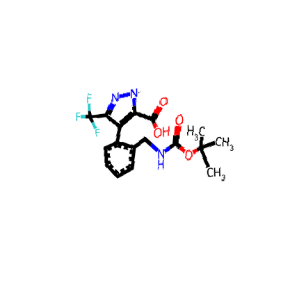 CC(C)(C)OC(=O)NCc1ccccc1C1=C(C(=O)O)[N]N=C1C(F)(F)F